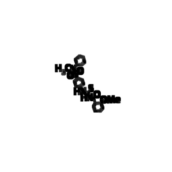 COc1ccccc1C(=O)NC(=S)Nc1ccc(S(=O)(=O)N(C)c2ccccc2)cc1